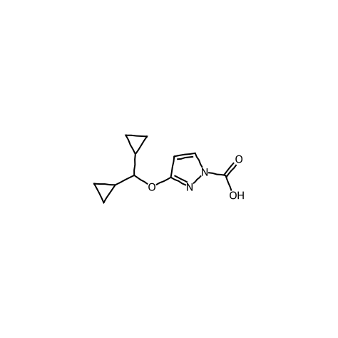 O=C(O)n1ccc(OC(C2CC2)C2CC2)n1